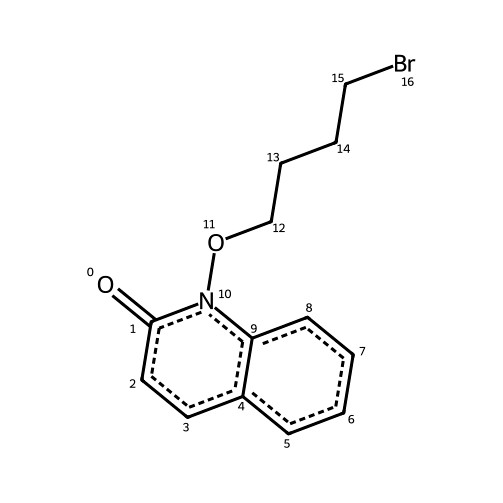 O=c1ccc2ccccc2n1OCCCCBr